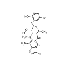 CCONCC(C)OC(Sc1cc(Br)cnc1C#N)[C@H](CN(N)/C=C(\N)c1nc(Cl)cs1)OCC